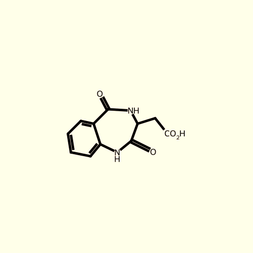 O=C(O)CC1NC(=O)c2ccccc2NC1=O